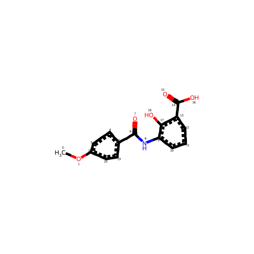 COc1ccc(C(=O)Nc2cccc(C(=O)O)c2O)cc1